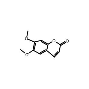 COc1cc2[c]cc(=O)oc2cc1OC